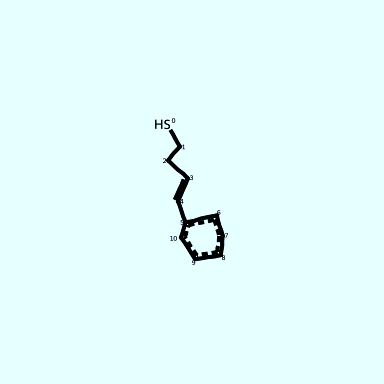 SCCC=Cc1ccccc1